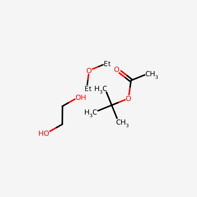 CC(=O)OC(C)(C)C.CCOCC.OCCO